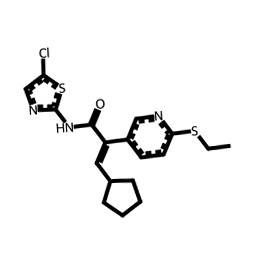 CCSc1ccc(/C(=C\C2CCCC2)C(=O)Nc2ncc(Cl)s2)cn1